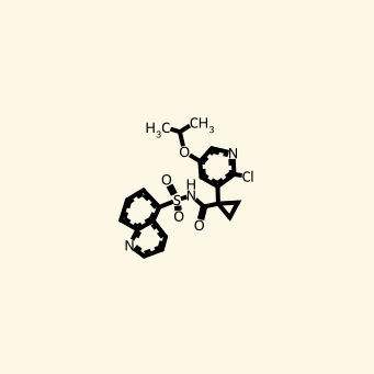 CC(C)Oc1cnc(Cl)c(C2(C(=O)NS(=O)(=O)c3cccc4ncccc34)CC2)c1